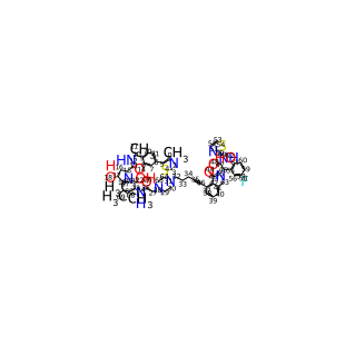 Cc1ncsc1-c1ccc([C@H](C)NC(=O)[C@@H]2C[C@@H](O)CN2C(O)[C@@H](NC(=O)CN2CCN(CCCC#Cc3cccc4c3C(=O)N(C(C(=O)Nc3nccs3)c3cc(F)ccc3O)C4)CC2)C(C)(C)C)cc1